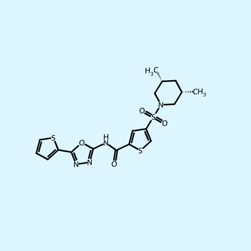 C[C@@H]1C[C@H](C)CN(S(=O)(=O)c2csc(C(=O)Nc3nnc(-c4cccs4)o3)c2)C1